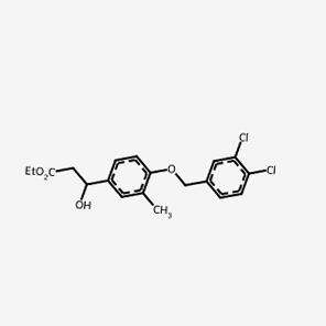 CCOC(=O)CC(O)c1ccc(OCc2ccc(Cl)c(Cl)c2)c(C)c1